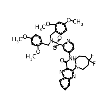 COc1ccc(CN(Cc2ccc(OC)cc2OC)S(=O)(=O)c2cc(NC(=O)c3nc4ccccc4nc3N3CCCC(F)(F)CC3)ccn2)c(OC)c1